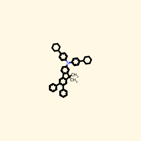 CC1(C)c2cc(N(c3ccc(C4CCCCC4)cc3)c3ccc(C4CCCCC4)cc3)ccc2-c2cc(-c3ccccc3)c(-c3ccccc3)cc21